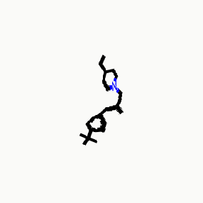 CCC1CCN(CC(C)=Cc2ccc(C(C)(C)C)cc2)CC1